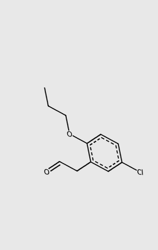 CCCOc1ccc(Cl)cc1CC=O